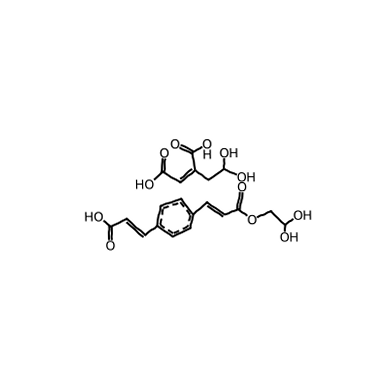 O=C(O)C=C(CC(O)O)C(=O)O.O=C(O)C=Cc1ccc(C=CC(=O)OCC(O)O)cc1